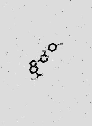 COC(=O)c1ccc2ccn(-c3ccnc(N[C@H]4CC[C@H](O)CC4)n3)c2c1